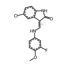 COc1ccc(N/C=C2/C(=O)Nc3ccc(Cl)cc32)cc1F